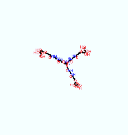 NC(COCCC(=O)NCCCNC(=O)CCCCO[C@H]1C[C@@H](O)[C@@H](O)[C@@H](CO)O1)(COCCC(=O)NCCCNC(=O)CCCCO[C@H]1C[C@@H](O)[C@@H](O)[C@@H](CO)O1)COCCC(=O)NCCCNC(=O)CCCCO[C@H]1C[C@@H](O)[C@@H](O)[C@@H](CO)O1